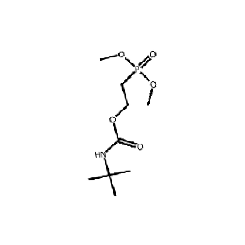 COP(=O)(CCOC(=O)NC(C)(C)C)OC